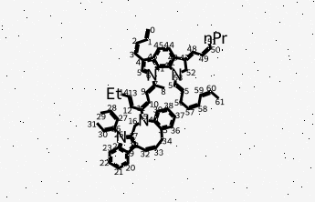 C=C/C=C\c1cn(/C(C)=C/C=C(\C=C\CC)N2Cc3c(c4ccccc4n3C(/C=C\C)=C/C)/C=C\Cc3ccccc32)c2c3c(ccc12)/C(=C/C=C\CCC)CN3/C=C/C/C=C\C=C/C